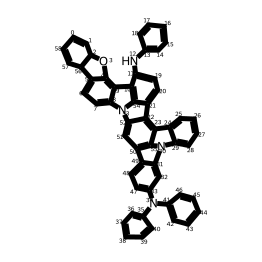 C1=CC2Oc3c(ccc4c3c3c(Nc5ccccc5)ccc5c6c7c8ccccc8n8c9cc(N(c%10ccccc%10)c%10ccccc%10)ccc9c(cc6n4c53)c78)C2C=C1